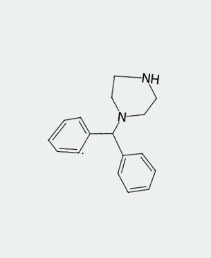 [c]1ccccc1C(c1ccccc1)N1CCNCC1